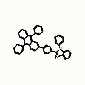 C1=CCCC(c2c3c(c(-c4ccccc4)c4cc(-c5ccc(-c6nc7ccccc7n6-c6ccccc6)cc5)ccc24)=CCCC=3)=C1